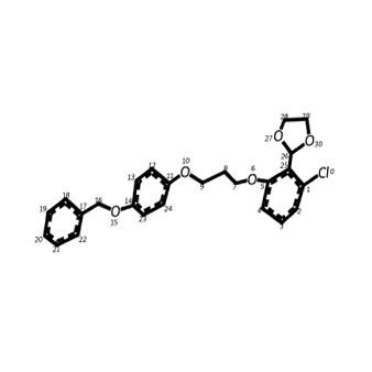 Clc1cccc(OCCCOc2ccc(OCc3ccccc3)cc2)c1C1OCCO1